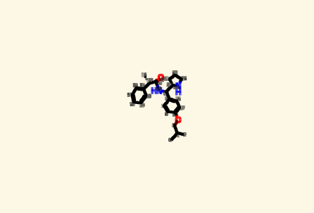 CC(C)COc1ccc([C@@H](NC(=O)[C@@H](C)c2ccccc2)[C@H]2CCCN2)cc1